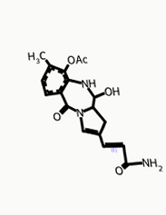 CC(=O)Oc1c(C)ccc2c1NC(O)C1CC(/C=C/C(N)=O)=CN1C2=O